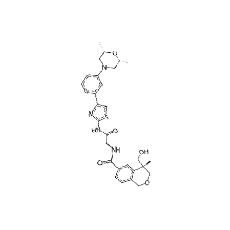 C[C@@H]1CN(c2cccc(-c3csc(NC(=O)CNC(=O)c4ccc5c(c4)[C@](C)(CO)COC5)n3)c2)C[C@H](C)O1